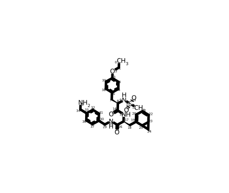 CCOc1ccc(C[C@@H](NS(C)(=O)=O)C(=O)N[C@@H](CC2=CC=CC3CC23)C(=O)NCc2ccc(CN)cc2)cc1